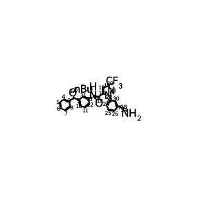 CCCCOC(c1ccccc1)c1cccc(NC(=O)c2cc(C(F)(F)F)nn2-c2cccc(CN)c2)c1